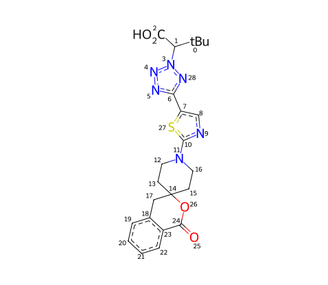 CC(C)(C)C(C(=O)O)n1nnc(-c2cnc(N3CCC4(CC3)Cc3ccccc3C(=O)O4)s2)n1